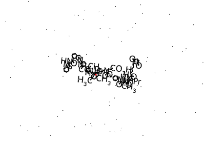 Cc1c(-c2ccc(N3CCc4cccc(C(=O)Nc5nc6ccccc6s5)c4C3)nc2C(=O)O)cnn1CC12CC3(C)CC(C)(C1)CC(OCCN(CCC(=O)O)C(=O)OCc1ccc(NC(=O)[C@H](C)NC(=O)C(NC(=O)CCCCCN4C(=O)C=CC4=O)C(C)C)cc1)(C3)C2